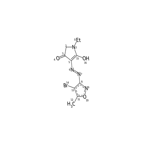 CCN1CC(=O)C(N=Nc2noc(C)c2Br)=C1O